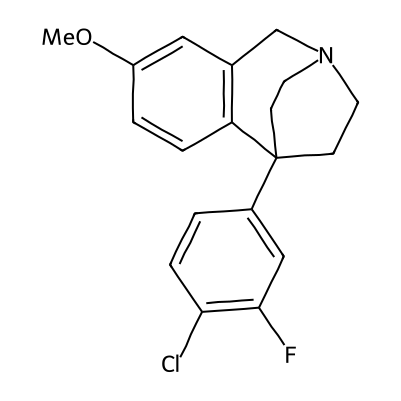 COc1ccc2c(c1)CN1CCC2(c2ccc(Cl)c(F)c2)CC1